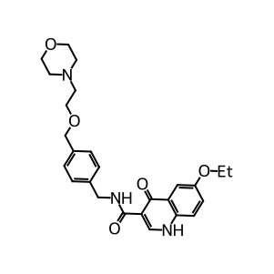 CCOc1ccc2[nH]cc(C(=O)NCc3ccc(COCCN4CCOCC4)cc3)c(=O)c2c1